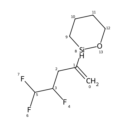 C=C(CC(F)C(F)F)[SiH]1CCCCO1